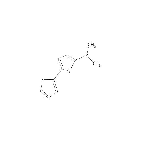 CP(C)c1ccc(-c2cccs2)s1